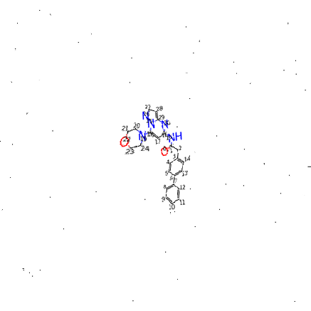 O=C(Cc1ccc(-c2ccccc2)cc1)Nc1cc(N2CCOCC2)n2nccc2n1